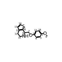 COc1ccc(OCC2NCCc3ccsc32)cc1